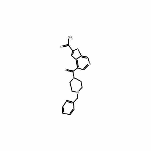 NC(=O)c1cc2c(C(=O)N3CCN(Cc4ccccc4)CC3)cncc2s1